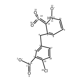 O=[N+]([O-])c1cc(CC2=CC=C[NH+]([O-])C2=S(=O)=O)ccc1Cl